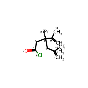 C=C(C)CC(CC(=O)Cl)(C(=C)C)C(C)C